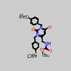 COc1ccc(Cn2c(CNC(=O)OC(C)(C)C)cc(=O)n(Cc3ccc(OC)cc3)c2=O)cc1